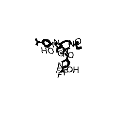 C=CC(=O)N1CCc2nn(-c3ccc(C(C)C)cc3O)c3c2[C@H](C1)N(C(=O)c1cnc(C(F)(F)F)c(O)c1)CC3